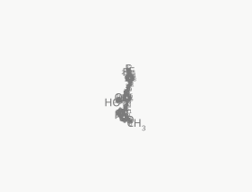 COc1ccc2nccc(C(F)CC[C@@H]3CCN(CCCCc4ccc(C(F)(F)F)cc4)C[C@@H]3CC(=O)O)c2c1